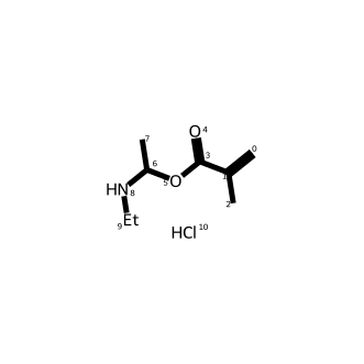 C=C(C)C(=O)OC(C)NCC.Cl